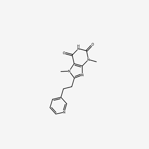 Cn1c(CCc2cccnc2)nc2c1c(=O)[nH]c(=O)n2C